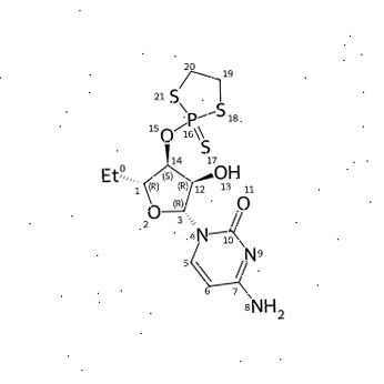 CC[C@H]1O[C@@H](n2ccc(N)nc2=O)[C@H](O)[C@@H]1OP1(=S)SCCS1